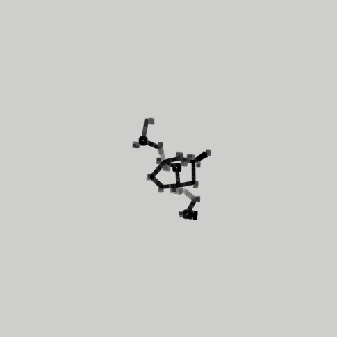 C[C@H]1C[C@@]2(CO)CC[C@@](COI)(C1)O2